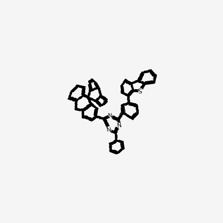 c1ccc(-c2nc(-c3cccc(-c4cccc5c4sc4ccccc45)c3)nc(-c3ccc4c(c3)C3(c5ccccc5C4)c4ccccc4-c4ccccc43)n2)cc1